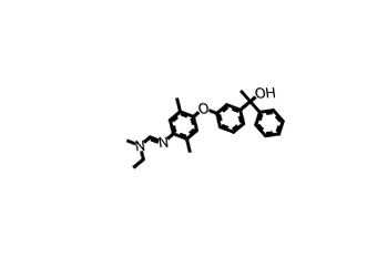 CCN(C)/C=N/c1cc(C)c(Oc2cccc(C(C)(O)c3ccccc3)c2)cc1C